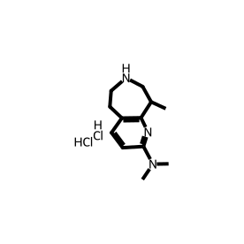 CC1CNCCc2ccc(N(C)C)nc21.Cl.Cl